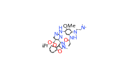 C=CC(=O)Nc1cc(Nc2ncc(C(=O)OC(C)C)c(-c3nn(C)c4oc5ccccc5c34)n2)c(OC)cc1N(C)CCN(C)C